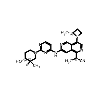 C[C@H](C#N)c1ncc(N2CC[C@H]2C)c2cnc(Nc3ccnc(N4CC[C@@H](O)[C@@](C)(F)C4)n3)cc12